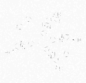 C#Cc1ccc2c(c1)nc(-c1ccc(C34CC5(c6ccc(-c7nc8cc(C#C)ccc8n7CCCCc7ccccc7)cc6)CC(c6ccc(-c7nc8cc(C#C)ccc8n7CCCCc7ccccc7)cc6)(C3)CC(c3ccc(-c6nc7cc(C#C)ccc7n6CCCCc6ccccc6)cc3)(C4)C5)cc1)n2CCCCc1ccccc1